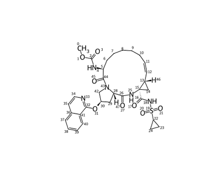 COC(=O)N[C@H]1CCCCC/C=C\[C@@H]2C[C@@]2(C(=O)NS(=O)(=O)C2CC2)NC(=O)[C@@H]2C[C@@H](Oc3nccc4ccccc34)CN2C1=O